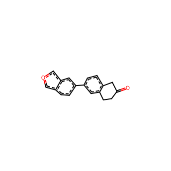 O=C1CCc2cc(-c3ccc4cocc4c3)ccc2C1